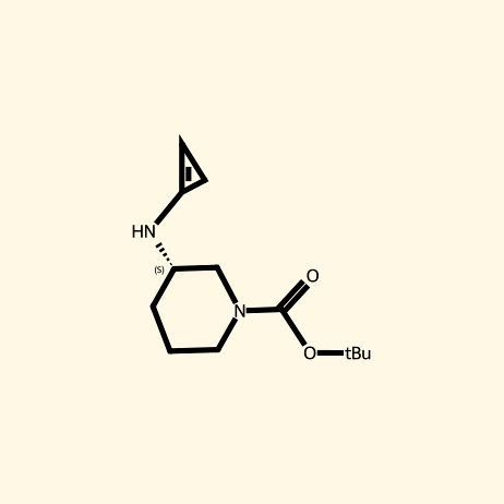 CC(C)(C)OC(=O)N1CCC[C@H](NC2=CC2)C1